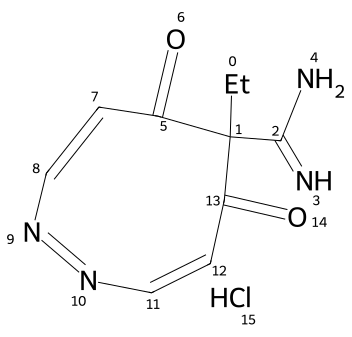 CCC1(C(=N)N)C(=O)C=CN=NC=CC1=O.Cl